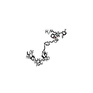 C=CC(=O)N[C@@H]1CN(c2nc(Nc3cn(CCCN4CCN(CCCON(C)C(=O)N5N=C(c6cc(F)ccc6F)S[C@@]5(CCCN)c5ccccc5)CC4)nc3OC)c3ncn(C)c3n2)C[C@H]1F